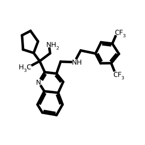 CC(CN)(c1nc2ccccc2cc1CNCc1cc(C(F)(F)F)cc(C(F)(F)F)c1)C1CCCC1